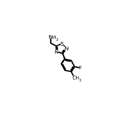 BCc1nc(-c2ccc(C)c(F)c2)ns1